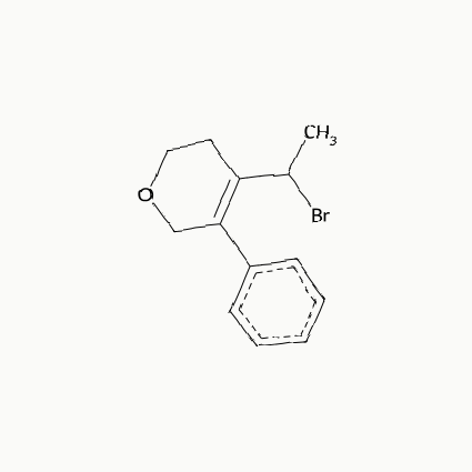 CC(Br)C1=C(c2ccccc2)COCC1